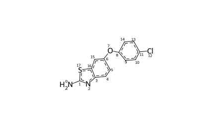 Nc1nc2ccc(Oc3ccc(Cl)cc3)cc2s1